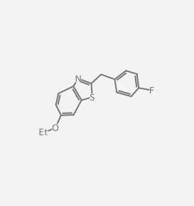 CCOc1ccc2nc(Cc3ccc(F)cc3)sc2c1